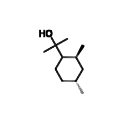 C[C@@H]1CCC(C(C)(C)O)[C@@H](C)C1